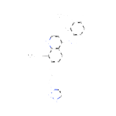 COc1cc(Nc2c(C#N)cnc3c(OC)c(OCCn4ccnn4)ccc23)c(Cl)cc1Cl